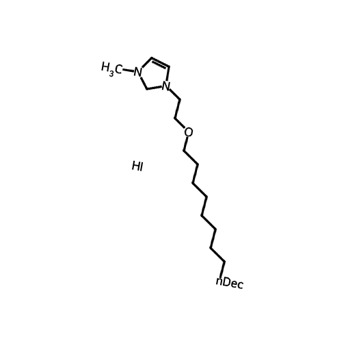 CCCCCCCCCCCCCCCCCCOCCN1C=CN(C)C1.I